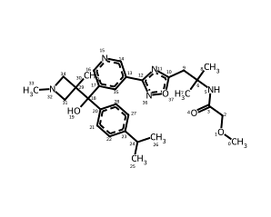 COCC(=O)NC(C)(C)Cc1nc(-c2cncc(C(O)(c3ccc(C(C)C)cc3)C3(C)CN(C)C3)c2)no1